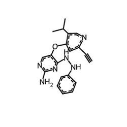 C#Cc1cc(Oc2cnc(N)nc2NNc2ccccc2)c(C(C)C)cn1